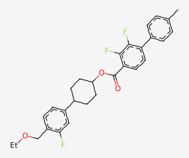 CCOCc1ccc(C2CCC(OC(=O)c3ccc(-c4ccc(C)cc4)c(F)c3F)CC2)cc1F